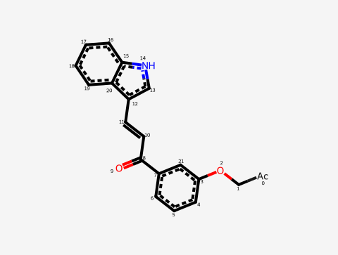 CC(=O)COc1cccc(C(=O)/C=C/c2c[nH]c3ccccc23)c1